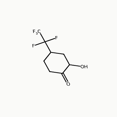 O=C1CCC(C(F)(F)C(F)(F)F)CC1O